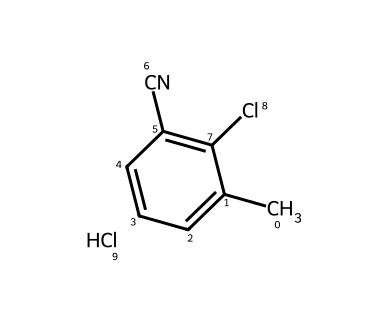 Cc1cccc(C#N)c1Cl.Cl